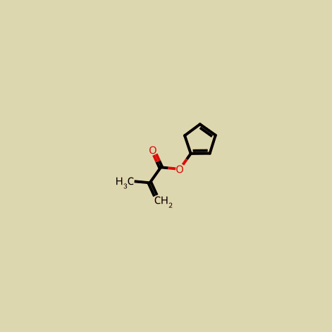 C=C(C)C(=O)OC1=CC=CC1